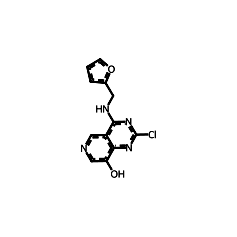 Oc1cncc2c(NCc3ccco3)nc(Cl)nc12